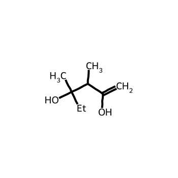 C=C(O)C(C)C(C)(O)CC